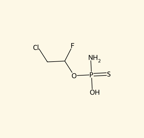 NP(O)(=S)OC(F)CCl